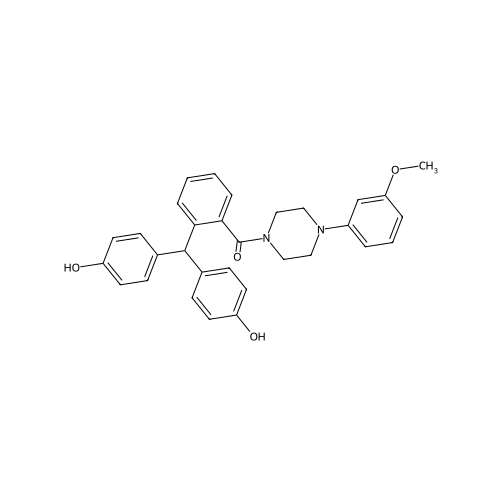 COc1cccc(N2CCN(C(=O)c3ccccc3C(c3ccc(O)cc3)c3ccc(O)cc3)CC2)c1